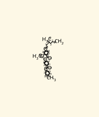 CCCCC(CC)CCOc1ccc(C(=O)Oc2ccc(C(=O)Oc3ccc(C)cc3)cc2)c(OC)c1